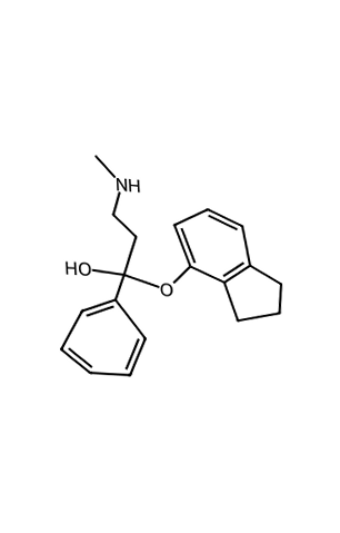 CNCCC(O)(Oc1cccc2c1CCC2)c1ccccc1